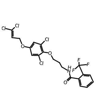 O=C(NCCCOc1c(Cl)cc(OCC=C(Cl)Cl)cc1Cl)c1ccccc1C(F)(F)F